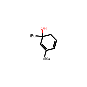 CCCCC1=CC(O)(C(C)CC)CC=C1